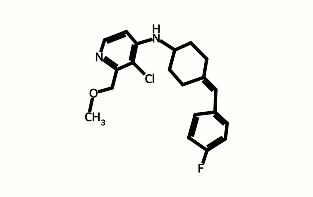 COCc1nccc(NC2CCC(=Cc3ccc(F)cc3)CC2)c1Cl